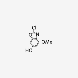 COc1cc(O)cc2oc(Cl)nc12